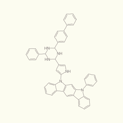 c1ccc(-c2ccc(C3NC(c4ccccc4)NC(c4c[nH]c(-n5c6ccccc6c6cc7c8ccccc8n(-c8ccccc8)c7cc65)c4)N3)cc2)cc1